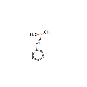 CP(C)/C=C/c1ccccc1